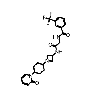 O=C(CNC(=O)c1cccc(C(F)(F)F)c1)NC1CN(C2CCC(n3ccccc3=O)CC2)C1